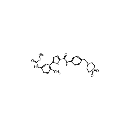 Cc1ccc(NC(=O)OC(C)(C)C)cc1-c1ccc(C(=O)Nc2ccc(CN3CCS(=O)(=O)CC3)cc2)s1